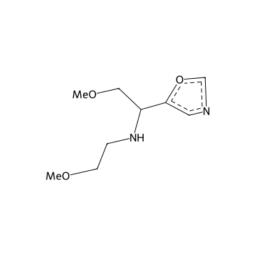 COCCNC(COC)c1cnco1